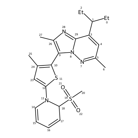 CCC(CC)c1cc(C)nn2c(-c3sc(N4C=CC=CC4S(C)(=O)=O)cc3C)c(C)nc12